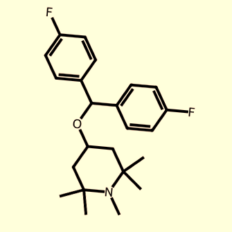 CN1C(C)(C)CC(OC(c2ccc(F)cc2)c2ccc(F)cc2)CC1(C)C